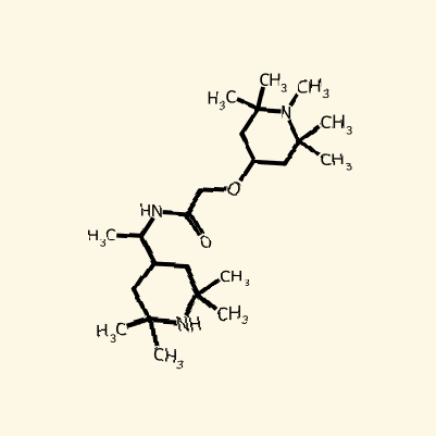 CC(NC(=O)COC1CC(C)(C)N(C)C(C)(C)C1)C1CC(C)(C)NC(C)(C)C1